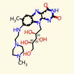 Cc1cc2nc3c(=O)[nH]c(=O)nc-3n(C[C@H](O)[C@H](O)[C@H](O)CO)c2cc1NCCN1CCN(C)CC1